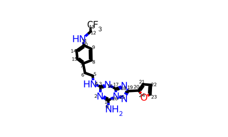 Nc1nc(NCCc2ccc(NCC(F)(F)F)cc2)nc2nc(-c3ccco3)nn12